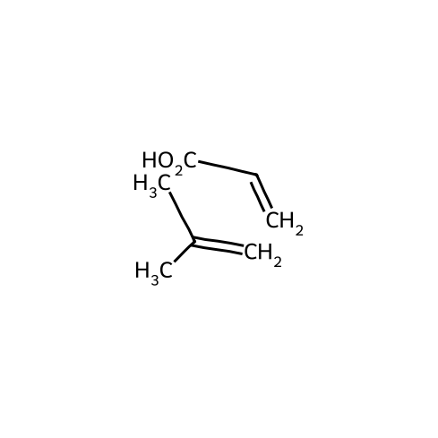 C=C(C)C.C=CC(=O)O